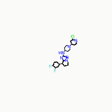 Fc1ccc(-c2cccn3nc(NC4CCN(c5ccnc(Cl)c5)CC4)nc23)cc1F